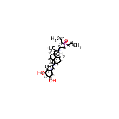 C=C1/C(=C\C=C2/CCC[C@]3(C)[C@@H]([C@H](C)/C=C/CP(=O)(CCC)CCC)CC[C@@H]23)C[C@@H](O)C[C@@H]1O